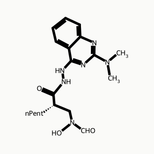 CCCCC[C@@H](CN(O)C=O)C(=O)NNc1nc(N(C)C)nc2ccccc12